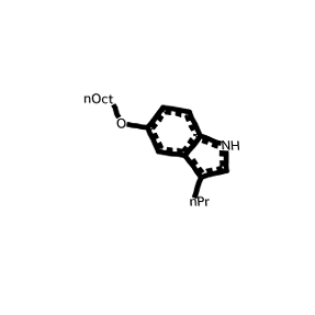 CCCCCCCCOc1ccc2[nH]cc(CCC)c2c1